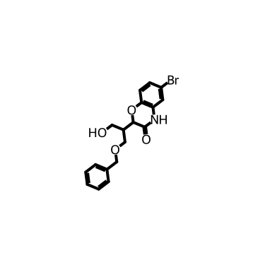 O=C1Nc2cc(Br)ccc2OC1C(CO)COCc1ccccc1